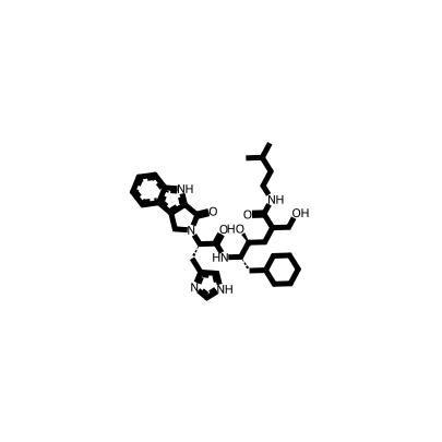 CC(C)CCNC(=O)C(CO)C[C@H](O)[C@H](CC1CCCCC1)NC(=O)[C@H](Cc1c[nH]cn1)N1Cc2c([nH]c3ccccc23)C1=O